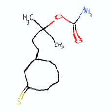 CC(C)(CC1CCCC(=S)C1)OC(N)=O